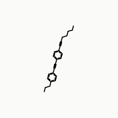 CCCCCC#Cc1ccc(C#Cc2ccc(CCC)cc2)cc1